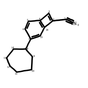 N#CC1=Cc2ccc(C3CCCCCC3)cc21